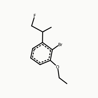 CCOc1cccc([C](C)CF)c1Br